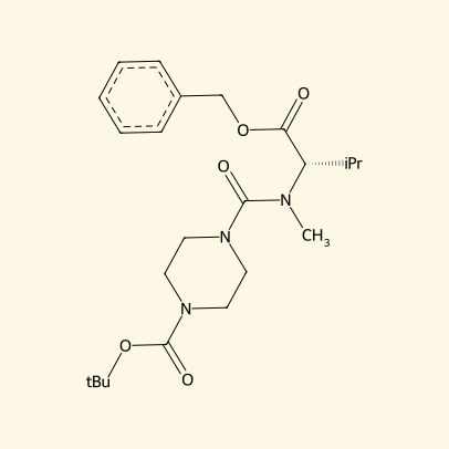 CC(C)[C@@H](C(=O)OCc1ccccc1)N(C)C(=O)N1CCN(C(=O)OC(C)(C)C)CC1